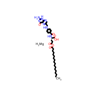 CCCCCCCCCCCCCCCCCC(=O)OC(=O)CC[C@H](NC(=O)c1ccc(NCc2cnc3[nH]c(N)nc(=O)c3n2)cc1)C(=O)O.[MgH2]